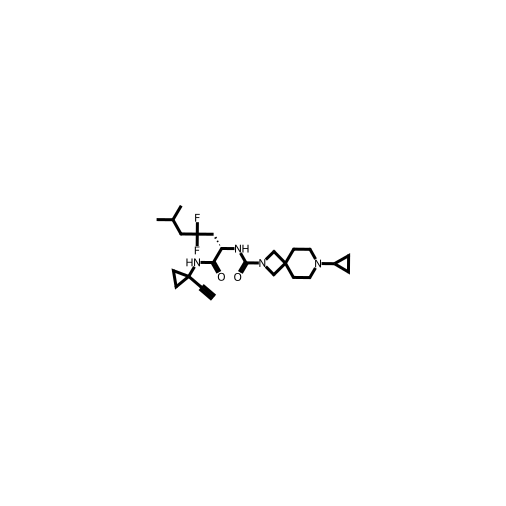 C#CC1(NC(=O)[C@H](CC(F)(F)CC(C)C)NC(=O)N2CC3(CCN(C4CC4)CC3)C2)CC1